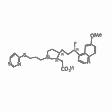 COc1ccc2nccc([C@@H](F)CC[C@@H]3CCN(CCCSc4ccncn4)C[C@@H]3CC(=O)O)c2c1